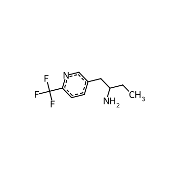 CCC(N)Cc1ccc(C(F)(F)F)nc1